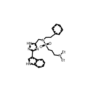 CCN(CC)CCCS(=O)(=O)N(CCc1ccccc1)Cc1nc(-c2c[nH]c3ccccc23)n[nH]1